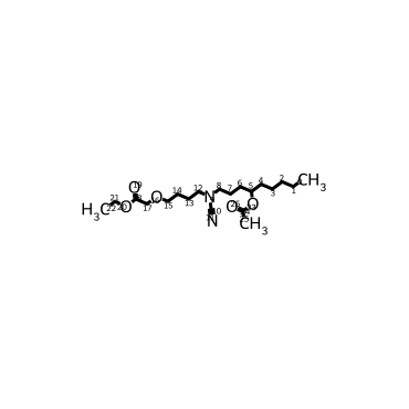 CCCCCC(CCCN(C#N)CCCCOCC(=O)OCC)OC(C)=O